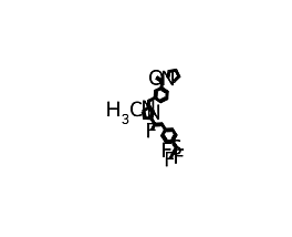 Cc1cc(/C(F)=C/c2ccc(SC(F)(F)F)cc2)nn1Cc1cccc(C(=O)N2CCCC2)c1